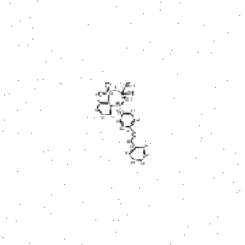 CCCC[C@]1(CC)CS(=O)(=O)c2ccccc2[C@@H](c2ccc(OCc3ccccc3)cc2)N1